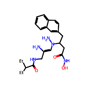 CCC(CC)C(=O)NC/C(N)=C/N(N)C(CC(=O)NO)Cc1ccc2ccccc2c1